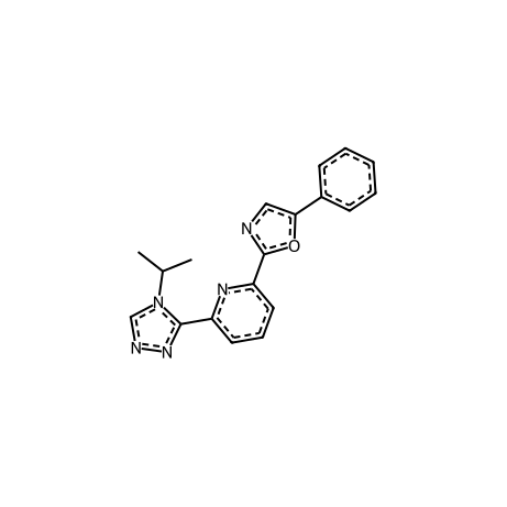 CC(C)n1cnnc1-c1cccc(-c2ncc(-c3ccccc3)o2)n1